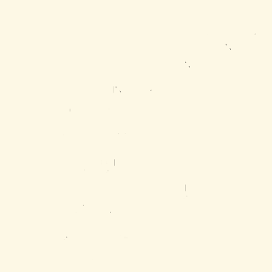 Cc1n(CCNC(=O)Cc2cccc(C3CCCC3)c2O)cc[n+]1C.[I-]